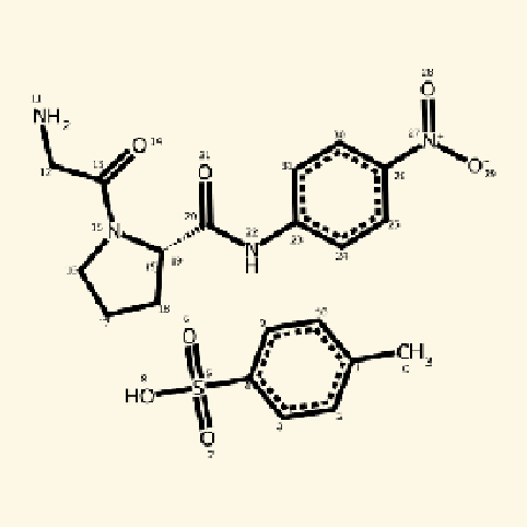 Cc1ccc(S(=O)(=O)O)cc1.NCC(=O)N1CCC[C@H]1C(=O)Nc1ccc([N+](=O)[O-])cc1